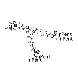 CCCCCC(CCCCC)CC(=O)OCCCCCCCCCC(CCCCCCCCOC(=O)CC(CCCCC)CCCCC)OCCCCN1CCN(C)CC1